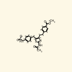 COC(=O)c1ccc(CCc2nc(NC(C)=O)sc2Cc2ccc(C[SH](=O)=O)cc2)cc1